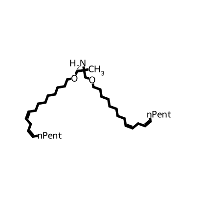 CCCCC/C=C\C/C=C\CCCCCCCCOCC(C)(N)COCCCCCCCC/C=C\C/C=C\CCCCC